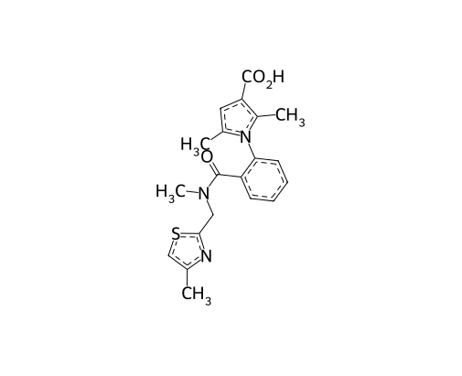 Cc1csc(CN(C)C(=O)c2ccccc2-n2c(C)cc(C(=O)O)c2C)n1